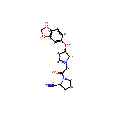 N#CC1CCCN1C(=O)CN1CCC(Oc2ccc3c(c2)OCO3)C1